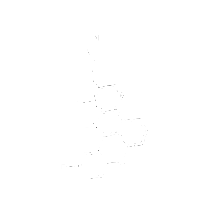 C[n+]1c2c3c(cccc3c3ccc(OCCO)c(F)c31)Oc1ccc(F)cc1-2